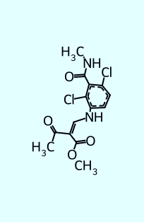 CNC(=O)c1c(Cl)ccc(NC=C(C(C)=O)C(=O)OC)c1Cl